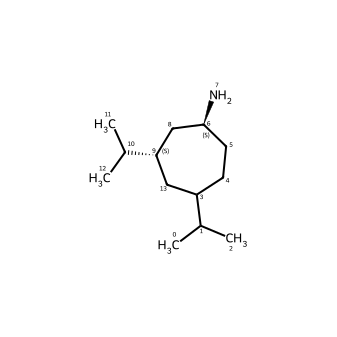 CC(C)C1CC[C@H](N)C[C@@H](C(C)C)C1